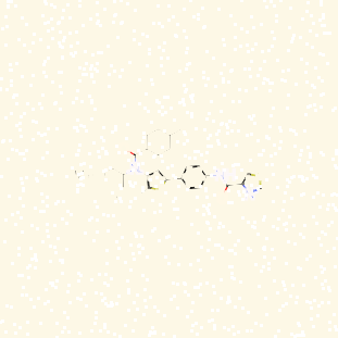 COCC(C)N(C(=O)C1CCC(C)CC1)c1cc(-c2ccc(NC(=O)c3cscn3)cc2)sc1C(=O)O